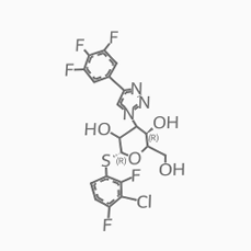 OCC1O[C@H](Sc2ccc(F)c(Cl)c2F)C(O)C(n2cc(-c3cc(F)c(F)c(F)c3)nn2)[C@H]1O